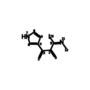 C=C(C(=C)c1cc[nH]c1)/C(I)=N\C